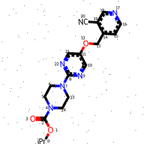 CC(C)OC(=O)N1CCN(c2ncc(OCc3ccncc3C#N)cn2)CC1